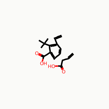 C=CCC(=O)O.C=Cc1cccc(C(=O)O)c1C(C)(C)C